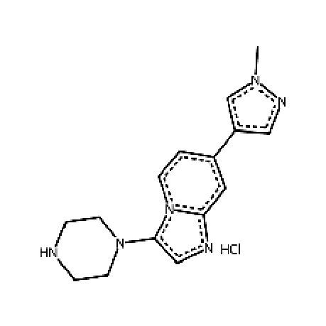 Cl.Cn1cc(-c2ccn3c(N4CCNCC4)cnc3c2)cn1